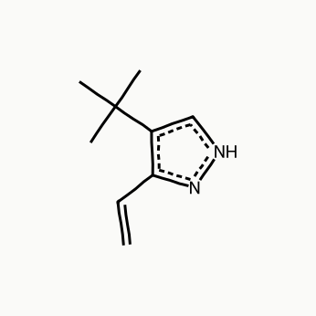 C=Cc1n[nH]cc1C(C)(C)C